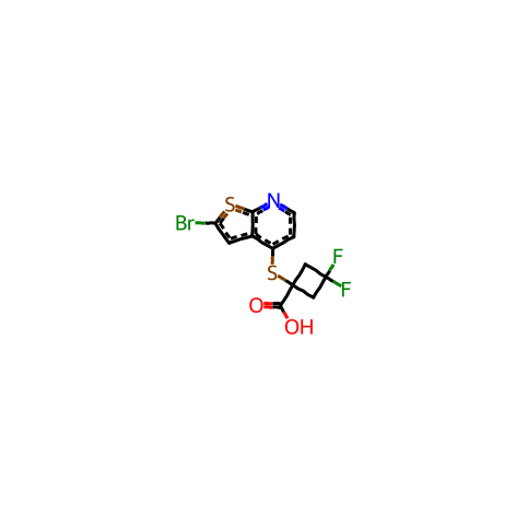 O=C(O)C1(Sc2ccnc3sc(Br)cc23)CC(F)(F)C1